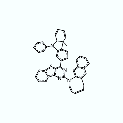 CC12C=CC=CC1N(c1ccccc1)c1cc(-c3nc(N4/C=C\C=C/Cc5cc6ccccc6cc54)nc4c3sc3ccccc34)ccc12